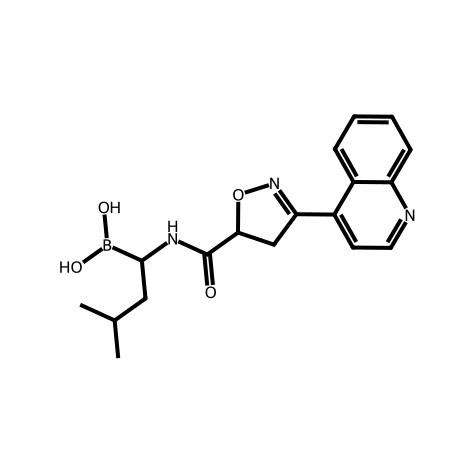 CC(C)CC(NC(=O)C1CC(c2ccnc3ccccc23)=NO1)B(O)O